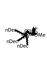 CCCCCCCCCCCCCCCCCCOc1cc(C(=O)N(C)CCOc2ccc(C(=O)OC)c(CN=[N+]=[N-])c2)cc(OCCCCCCCCCCCCCCCCCC)c1OCCCCCCCCCCCCCCCCCC